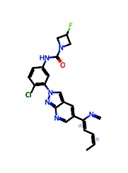 C=N/C(=C\C=C/C)c1cnc2nn(-c3cc(NC(=O)N4CC(F)C4)ccc3Cl)cc2c1